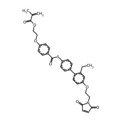 C=C(C)C(=O)OCCOc1ccc(C(=O)Sc2ccc(-c3ccc(OCCN4C(=O)C=CC4=O)cc3CC)cc2)cc1